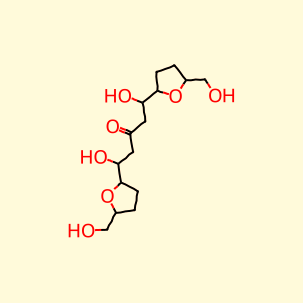 O=C(CC(O)C1CCC(CO)O1)CC(O)C1CCC(CO)O1